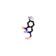 O=c1[nH]c(CO)cc2ccc([N+](=O)[O-])cc12